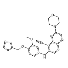 COc1cc(Nc2ccc3ncc(N4CCOCC4)nc3c2C#N)ccc1OCc1ccoc1